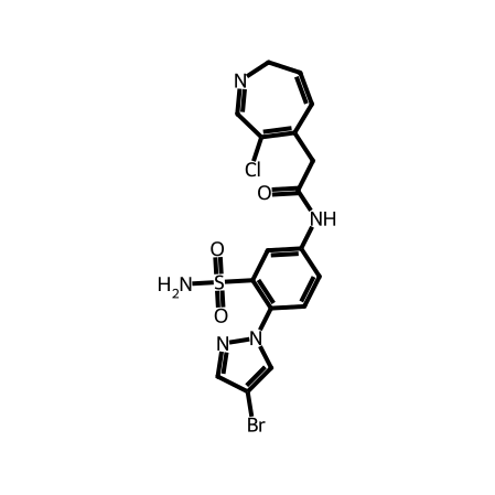 NS(=O)(=O)c1cc(NC(=O)CC2=C(Cl)C=NCC=C2)ccc1-n1cc(Br)cn1